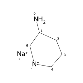 NC1CCC[N-]C1.[Na+]